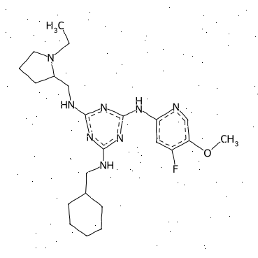 CCN1CCCC1CNc1nc(NCC2CCCCC2)nc(Nc2cc(F)c(OC)cn2)n1